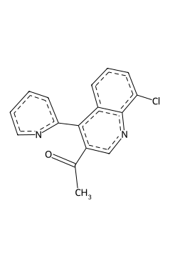 CC(=O)c1cnc2c(Cl)cccc2c1-c1ccccn1